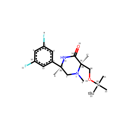 CN1C[C@@](C)(c2cc(F)cc(F)c2)NC(=O)[C@@]1(C)CO[Si](C)(C)C(C)(C)C